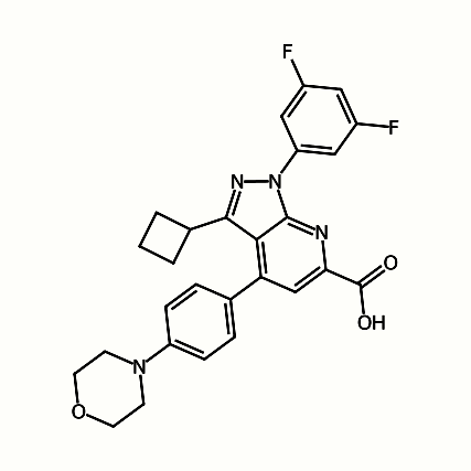 O=C(O)c1cc(-c2ccc(N3CCOCC3)cc2)c2c(C3CCC3)nn(-c3cc(F)cc(F)c3)c2n1